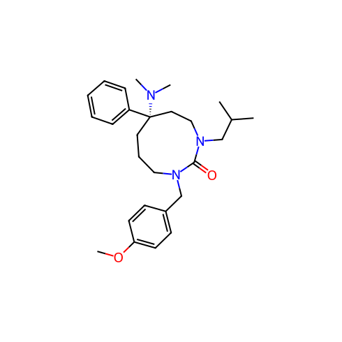 COc1ccc(CN2CCC[C@](c3ccccc3)(N(C)C)CCN(CC(C)C)C2=O)cc1